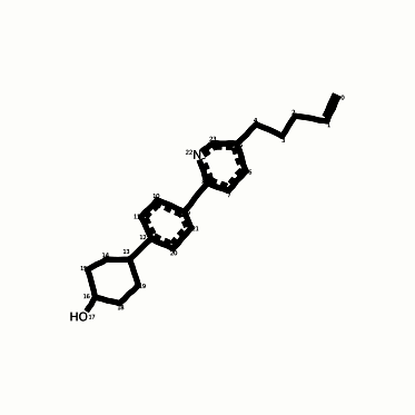 C=CCCCc1ccc(-c2ccc(C3CCC(O)CC3)cc2)nc1